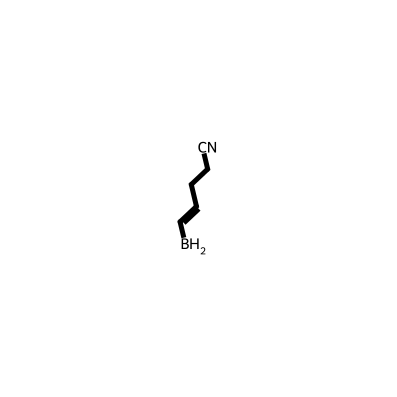 B/C=C/CCC#N